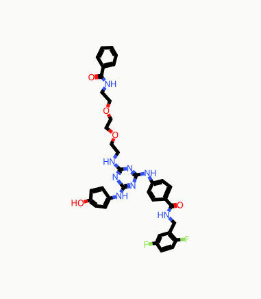 O=C(NCCOCCOCCNc1nc(Nc2ccc(O)cc2)nc(Nc2ccc(C(=O)NCc3cc(F)ccc3F)cc2)n1)c1ccccc1